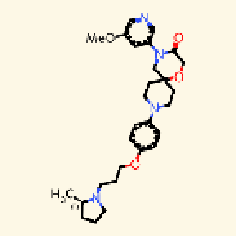 COc1cncc(N2CC3(CCN(c4ccc(OCCCN5CCC[C@H]5C)cc4)CC3)OCC2=O)c1